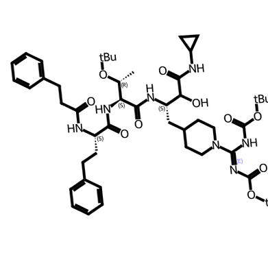 C[C@@H](OC(C)(C)C)[C@H](NC(=O)[C@H](CCc1ccccc1)NC(=O)CCc1ccccc1)C(=O)N[C@@H](CC1CCN(/C(=N/C(=O)OC(C)(C)C)NC(=O)OC(C)(C)C)CC1)C(O)C(=O)NC1CC1